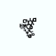 Clc1cc(Cl)cc(O[C@H](C2CCOCC2)[C@@H]2CCNC2)c1